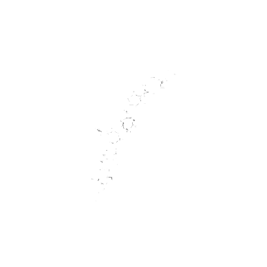 COC[C@H](O)C(=O)N1CC[C@H](Oc2ccc(-c3ncnc(Nc4ccc(N5CCN(C6COC6)CC5)cc4)n3)cc2C#N)[C@@H](F)C1